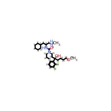 CNCC(CC1CCCCC1)NC(=O)N1CCC[C@@H]([C@@](O)(CCCCOC)c2cccc(F)c2F)C1